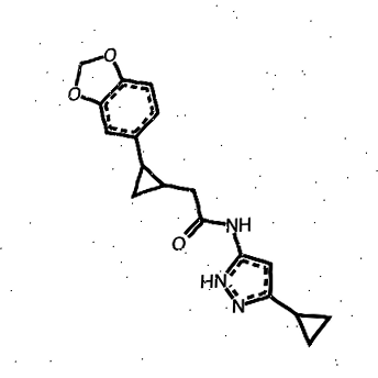 O=C(CC1CC1c1ccc2c(c1)OCO2)Nc1cc(C2CC2)n[nH]1